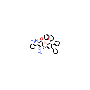 Nc1c2c3c(c(N)c1-c1ccccc1)Oc1cc(-c4ccccc4)c(-c4ccccc4)c(-c4ccccc4)c1B3c1ccccc1O2